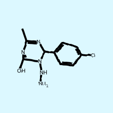 CC1=NC(c2ccc(Cl)cc2)N(NN)C(O)=N1